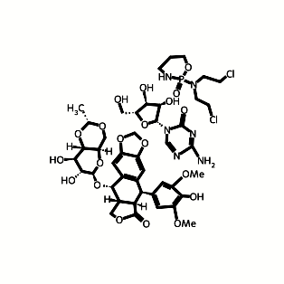 COc1cc([C@@H]2c3cc4c(cc3[C@@H](O[C@@H]3O[C@@H]5CO[C@@H](C)O[C@H]5[C@H](O)[C@H]3O)[C@H]3COC(=O)[C@H]23)OCO4)cc(OC)c1O.Nc1ncn([C@@H]2O[C@H](CO)[C@@H](O)[C@H]2O)c(=O)n1.O=P1(N(CCCl)CCCl)NCCCO1